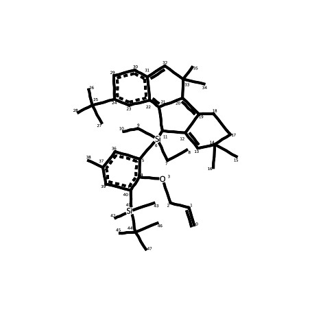 C=CCOc1c([Si](CC)(CC)C2C3=CC(C)(C)CCC3=C3C2=c2cc(C(C)(C)C)ccc2=CC3(C)C)cc(C)cc1[Si](C)(C)C(C)(C)C